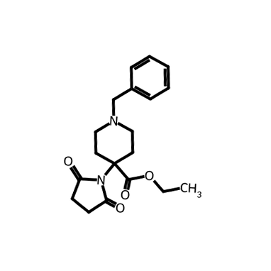 CCOC(=O)C1(N2C(=O)CCC2=O)CCN(Cc2ccccc2)CC1